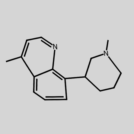 Cc1ccnc2c(C3CCCN(C)C3)cccc12